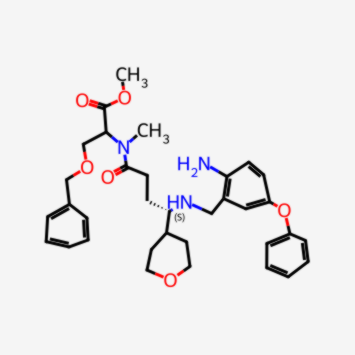 COC(=O)C(COCc1ccccc1)N(C)C(=O)CC[C@H](NCc1cc(Oc2ccccc2)ccc1N)C1CCOCC1